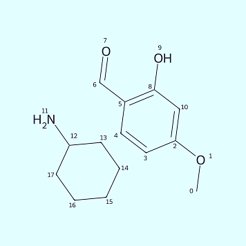 COc1ccc(C=O)c(O)c1.NC1CCCCC1